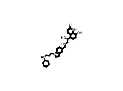 CN(CCCn1ccc2cc(CNC[C@H](O)c3ccc(O)c4[nH]c(=O)ccc34)ccc21)C1CC#CCC1